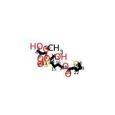 COCC(CO)OP(=O)(OCCO)SCCCCOC(=O)c1cccs1